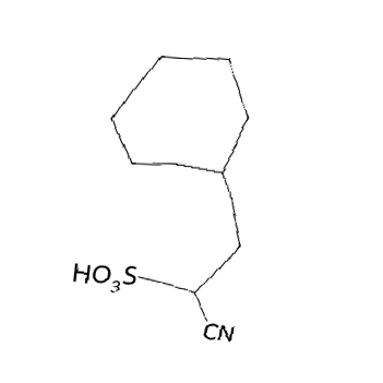 N#CC(CC1CCCCC1)S(=O)(=O)O